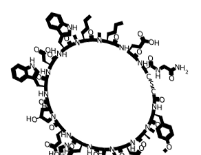 CCCC[C@H]1C(=O)N(C)[C@@H](CCCC)C(=O)N[C@@H](CCC(=O)O)C(=O)N[C@H](C(=O)NCC(N)=O)CSCC(=O)N[C@@H](Cc2ccc(OC)cc2)C(=O)N(C)[C@@H](C)C(=O)N[C@@H](CC(N)=O)C(=O)N2CCC[C@H]2C(=O)N[C@@H](Cc2cnc[nH]2)C(=O)N[C@@H](CCC(=O)O)C(=O)N2C[C@H](O)C[C@H]2C(=O)N[C@@H](Cc2c[nH]c3ccccc23)C(=O)N[C@@H](CC(=O)O)C(=O)N[C@@H](Cc2c[nH]c3ccccc23)C(=O)N1C